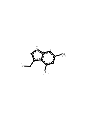 Cc1cc(C)c2c(CBr)csc2c1